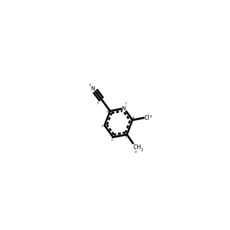 Cc1ccc(C#N)nc1Cl